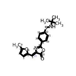 Cc1ccc(/C=C2\N=C(c3ccc(SNC(C)(C)C)cc3)OC2=O)o1